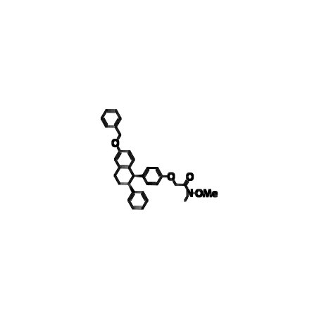 CON(C)C(=O)COc1ccc([C@@H]2c3ccc(OCc4ccccc4)cc3CC[C@@H]2c2ccccc2)cc1